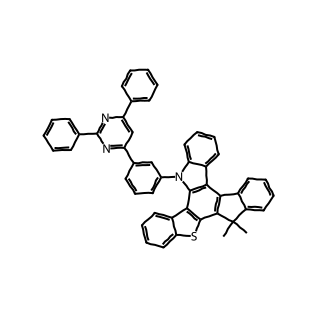 CC1(C)c2ccccc2-c2c1c1sc3ccccc3c1c1c2c2ccccc2n1-c1cccc(-c2cc(-c3ccccc3)nc(-c3ccccc3)n2)c1